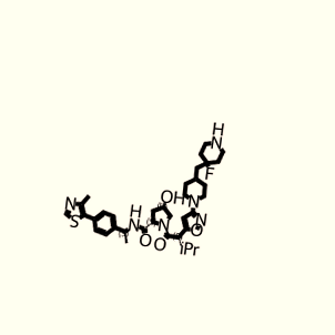 Cc1ncsc1-c1ccc([C@H](C)NC(=O)[C@@H]2C[C@@H](O)CN2C(=O)[C@H](c2cc(N3CCC(CC4(F)CCNCC4)CC3)no2)C(C)C)cc1